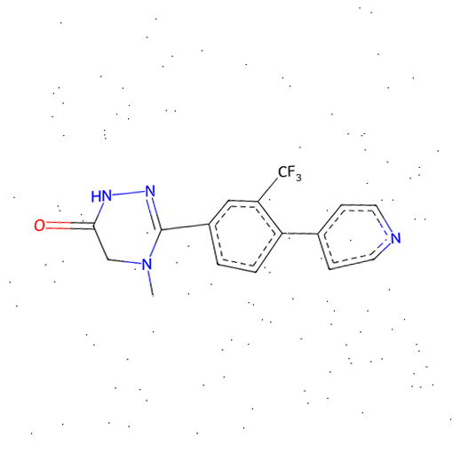 CN1CC(=O)NN=C1c1ccc(-c2ccncc2)c(C(F)(F)F)c1